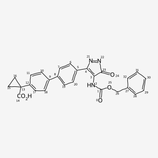 O=C(NC1=C(c2ccc(-c3ccc(C4(C(=O)O)CC4)cc3)cc2)N=NC1=O)OCc1ccccc1